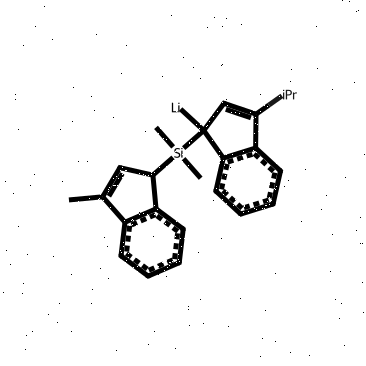 [Li][C]1([Si](C)(C)C2C=C(C)c3ccccc32)C=C(C(C)C)c2ccccc21